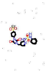 O=C1CN(Cc2ccnc(NS(=O)(=O)Nc3ccccc3)c2)C(=O)N1c1ccc(S(=O)(=O)C(F)(F)F)cc1